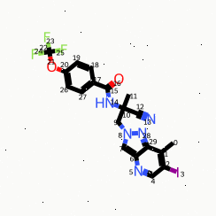 Cc1c(I)cnc2cn(CC(C)(C#N)NC(=O)c3ccc(OC(F)(F)F)cc3)nc12